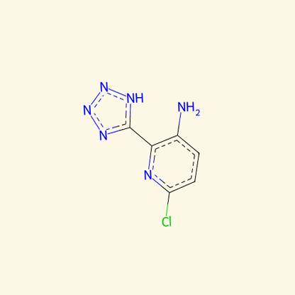 Nc1ccc(Cl)nc1-c1nnn[nH]1